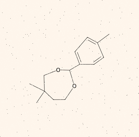 Cc1ccc(C2OCCC(C)(C)CO2)cc1